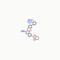 CCCCc1nc2ccc([C@@H]3C[C@@H]4CCCCN4O3)cc2c(=O)n1Cc1ccc(-c2ccccc2-c2nnn[nH]2)cc1